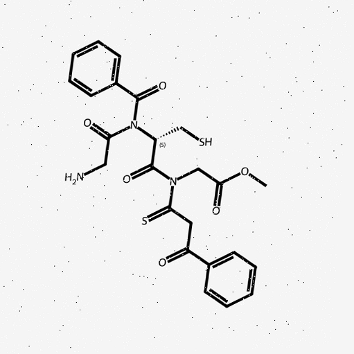 COC(=O)CN(C(=O)[C@@H](CS)N(C(=O)CN)C(=O)c1ccccc1)C(=S)CC(=O)c1ccccc1